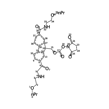 CCCOCCNCC(=O)c1ccc2c(c1)C(COC(=O)ON1C(=O)CCC1=O)c1cc(C(=O)NCCOCCC)ccc1-2